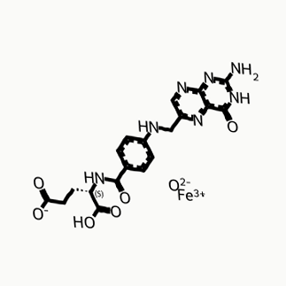 Nc1nc2ncc(CNc3ccc(C(=O)N[C@@H](CCC(=O)[O-])C(=O)O)cc3)nc2c(=O)[nH]1.[Fe+3].[O-2]